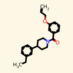 C=CCOc1cccc(C(=O)N2CCC(c3cccc(CC)c3)CC2)c1